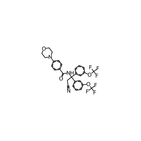 N#CCC(NC(=O)c1ccc(N2CCOCC2)cc1)(c1cccc(OC(F)(F)F)c1)c1cccc(OC(F)(F)F)c1